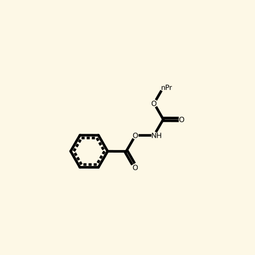 CCCOC(=O)NOC(=O)c1ccccc1